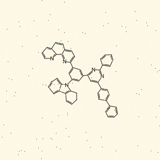 C1=Cc2c(n(-c3cc(-c4cc(-c5ccc(-c6ccccc6)cc5)nc(-c5ccccc5)n4)cc(-c4ccc5ccc6cccnc6c5n4)c3)c3ccccc23)CC1